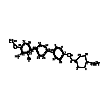 CCCC1CCC(COc2ccc(-c3ccc(-c4ccc(OCC)c(F)c4F)cc3)cc2)CC1